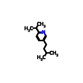 CC(C)CCc1ccc(C(C)C)nc1